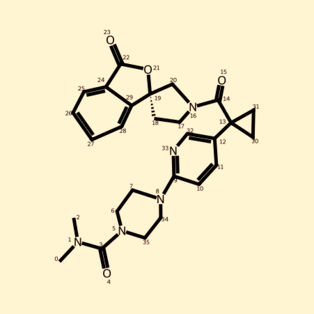 CN(C)C(=O)N1CCN(c2ccc(C3(C(=O)N4CC[C@@]5(C4)OC(=O)c4ccccc45)CC3)cn2)CC1